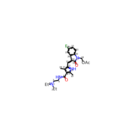 CCN(CC)CCNC(=O)c1c(C)[nH]c(/C=C2\C(=O)N(COC(C)=O)c3ccc(F)cc32)c1C